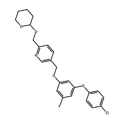 Fc1cc(OCc2ccc(COC3CCCCO3)nc2)cc(Oc2ccc(Cl)cc2)c1